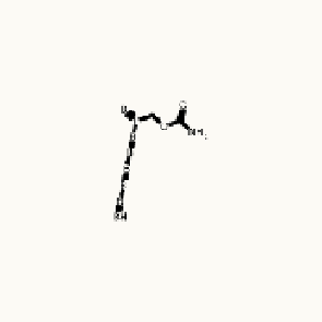 B#P(B=BB=BB=B)COC(N)=O